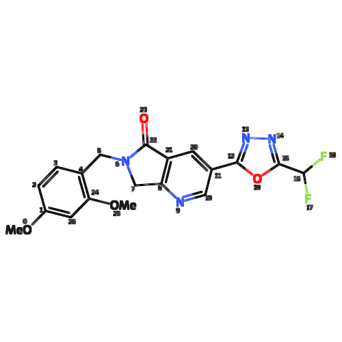 COc1ccc(CN2Cc3ncc(-c4nnc(C(F)F)o4)cc3C2=O)c(OC)c1